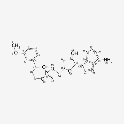 COc1cccc(C2CCOP(=S)(OC[C@@H]3CC(O)[C@H](n4cnc5c(N)ncnc54)O3)O2)c1